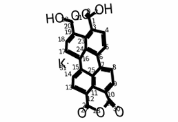 O=C(O)c1ccc2c3ccc4c5c(ccc(c6ccc(C(=O)O)c1c26)c53)C(=O)OC4=O.[K]